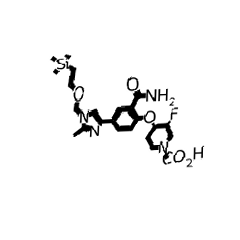 Cc1nc(-c2ccc(O[C@@H]3CCN(C(=O)O)C[C@@H]3F)c(C(N)=O)c2)cn1COCC[Si](C)(C)C